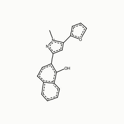 Cn1nc(-c2ccc3ccccc3c2O)cc1-c1ccco1